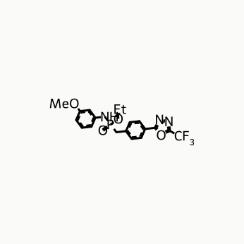 CCOP(=O)(Cc1ccc(-c2nnc(C(F)(F)F)o2)cc1)Nc1cccc(OC)c1